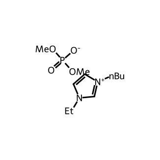 CCCC[n+]1ccn(CC)c1.COP(=O)([O-])OC